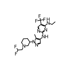 CCNc1nc(Nc2cnn(C3CCCN(CC(F)F)C3)c2C)ncc1C(F)(F)F